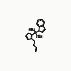 C=CCCC1=[C]([Zr]([CH2]CCC)([CH2]CCC)[CH]2C=Cc3ccccc32)CC=C1